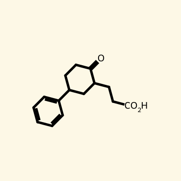 O=C(O)CCC1CC(c2ccccc2)CCC1=O